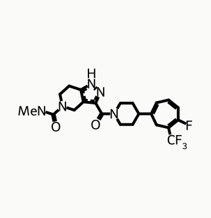 CNC(=O)N1CCc2[nH]nc(C(=O)N3CCC(C4=CC=CC(F)=C(C(F)(F)F)C4)CC3)c2C1